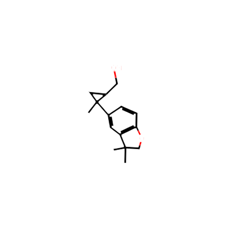 CC1(C)COc2ccc(C3(C)CC3CO)cc21